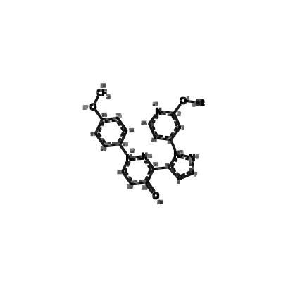 CCOc1cc(-n2nccc2-c2nn(-c3ccc(OC(F)(F)F)cc3)ccc2=O)ccn1